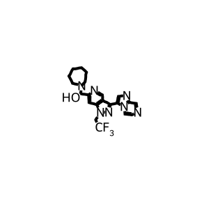 OC(c1cc2c(cn1)c(-c1cnc3cnccn13)nn2CC(F)(F)F)N1CCCCCC1